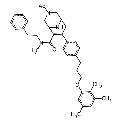 CC(=O)N1CC2CC(c3ccc(CCCOc4cc(C)cc(C)c4C)cc3)=C(C(=O)N(C)CCc3ccccc3)C(C1)N2